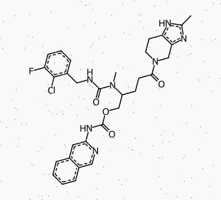 Cc1nc2c([nH]1)CCN(C(=O)CCC(COC(=O)Nc1cc3ccccc3cn1)N(C)C(=O)NCc1cccc(F)c1Cl)C2